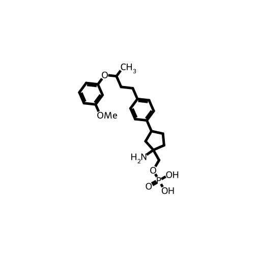 COc1cccc(OC(C)CCc2ccc(C3CCC(N)(COP(=O)(O)O)C3)cc2)c1